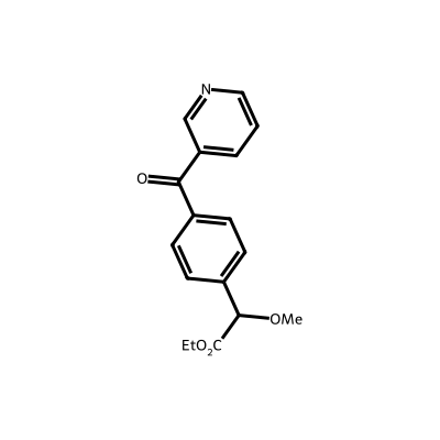 CCOC(=O)C(OC)c1ccc(C(=O)c2cccnc2)cc1